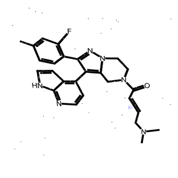 Cc1ccc(-c2nn3c(c2-c2ccnc4[nH]ccc24)CN(C(=O)/C=C/CN(C)C)CC3)c(F)c1